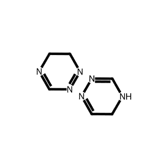 C1=NCCN=N1.C1=NN=CNC1